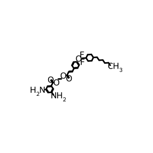 CCCCCCC1CCC(C(F)(F)Oc2ccc(C=CC(=O)OCCOC(=O)c3cc(N)cc(N)c3)cc2)CC1